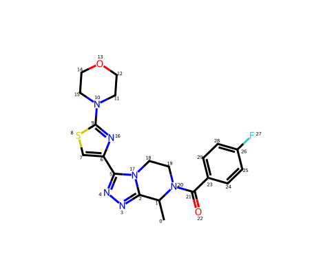 CC1c2nnc(-c3csc(N4CCOCC4)n3)n2CCN1C(=O)c1ccc(F)cc1